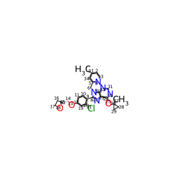 Cc1ccnc(Cn2c(-c3ccc(OC[C@H]4CCO4)cc3Cl)nc3c(OC4(C)CC4)ncnc32)c1